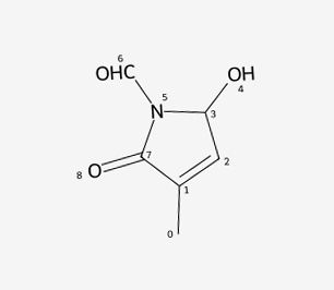 CC1=CC(O)N(C=O)C1=O